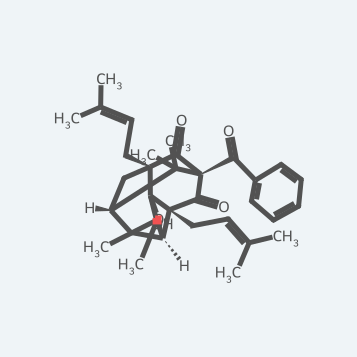 CC(C)=CC[C@]12C[C@H]3C[C@H]4C(C)(C)OC1(O)[C@]4(CC=C(C)C)C(=O)[C@@](C(=O)c1ccccc1)(C2=O)C3(C)C